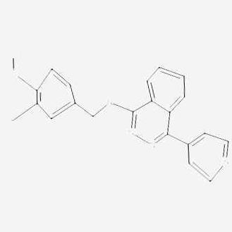 COc1ccc(CNc2nnc(-c3ccncc3)c3ccccc23)cc1Cl